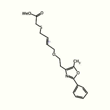 COC(=O)CSC/C=C/COCCc1nc(-c2ccccc2)oc1C